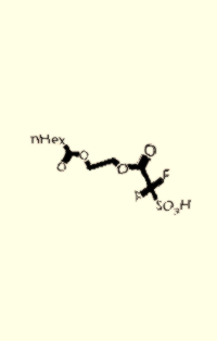 CCCCCCC(=O)OCCOC(=O)C(F)(F)S(=O)(=O)O